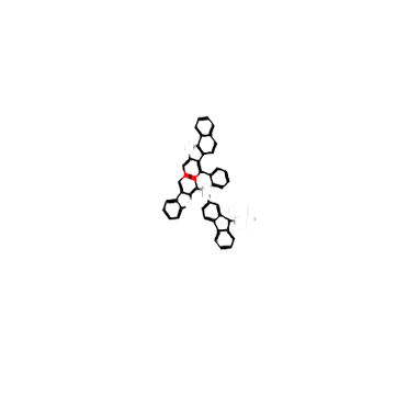 CC1(C)c2ccccc2-c2ccc(N(c3ccccc3-c3cccc4oc5c6ccccc6ccc5c34)c3cccc4c3sc3ccccc34)cc21